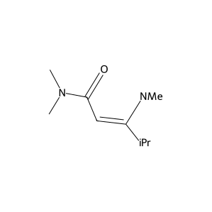 CN/C(=C\C(=O)N(C)C)C(C)C